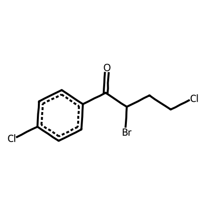 O=C(c1ccc(Cl)cc1)C(Br)CCCl